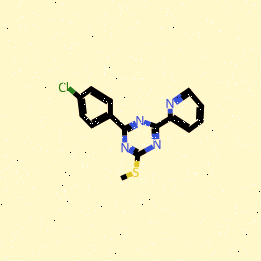 CSc1nc(-c2ccc(Cl)cc2)nc(-c2ccccn2)n1